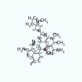 C[C@@H](c1cncnc1N)N(C)c1nc(N2CC(C)(N(C)C)C2)nc2c(F)c(-c3ccc(F)c4sc(N)c(C#N)c34)c(Cl)cc12